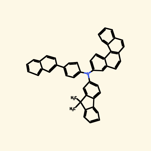 CC1(C)c2ccccc2-c2ccc(N(c3ccc(-c4ccc5ccccc5c4)cc3)c3ccc4c(ccc5ccc6ccccc6c54)c3)cc21